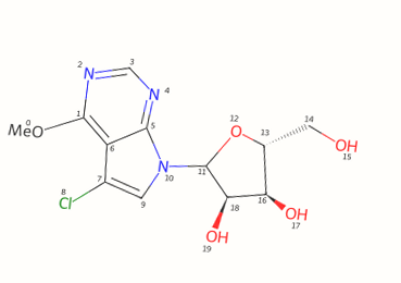 COc1ncnc2c1c(Cl)cn2C1O[C@H](CO)[C@@H](O)[C@H]1O